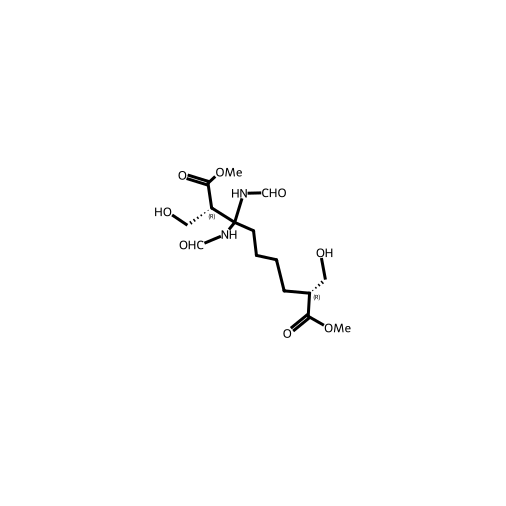 COC(=O)[C@@H](CO)CCCCC(NC=O)(NC=O)[C@H](CO)C(=O)OC